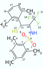 Cc1cc(C)c(S(=O)(=O)NC(C(S)c2c(C)cccc2C)C(F)(F)F)c(C)c1